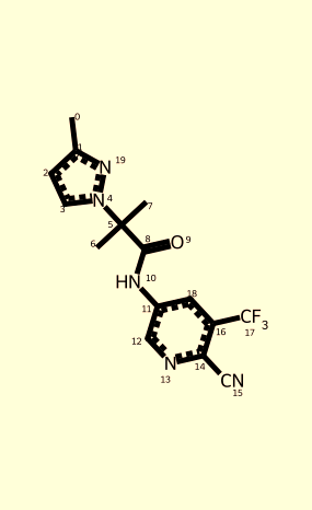 Cc1ccn(C(C)(C)C(=O)Nc2cnc(C#N)c(C(F)(F)F)c2)n1